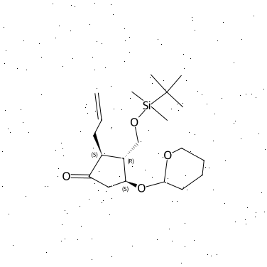 C=CC[C@@H]1C(=O)C[C@H](OC2CCCCO2)[C@H]1CO[Si](C)(C)C(C)(C)C